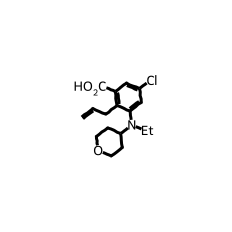 C=CCc1c(C(=O)O)cc(Cl)cc1N(CC)C1CCOCC1